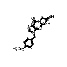 COc1ccc(Cn2cnc3c(=O)n4c(nc32)NC(=N)C4)cc1